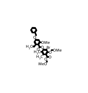 C=Cc1cc(OCc2ccccc2)cc(OC)c1C(=O)Oc1c(C)c(C)c(C(=O)OCOC)c(OCOC)c1Br